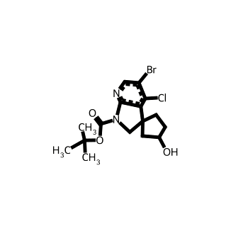 CC(C)(C)OC(=O)N1CC2(CCC(O)C2)c2c1ncc(Br)c2Cl